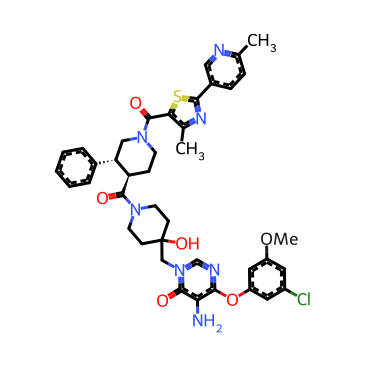 COc1cc(Cl)cc(Oc2ncn(CC3(O)CCN(C(=O)[C@@H]4CCN(C(=O)c5sc(-c6ccc(C)nc6)nc5C)C[C@H]4c4ccccc4)CC3)c(=O)c2N)c1